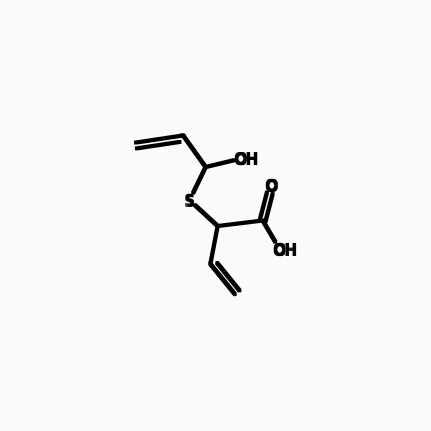 C=CC(O)SC(C=C)C(=O)O